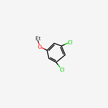 CCOc1cc(Cl)cc(Cl)c1